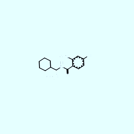 O=C(N[C@H](C(=O)O)C1CCCCC1)c1ccc(C(F)(F)F)cc1[N+](=O)[O-]